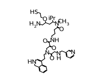 CC(C)C(CC(CN)OCCS)N(C)C(=O)CCCNC(=O)C(=O)CN(CCC1=CNCc2ccccc21)C(=O)CNCc1cccnc1